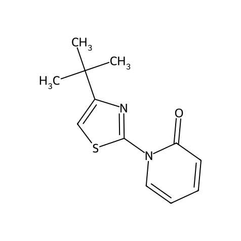 CC(C)(C)c1csc(-n2ccccc2=O)n1